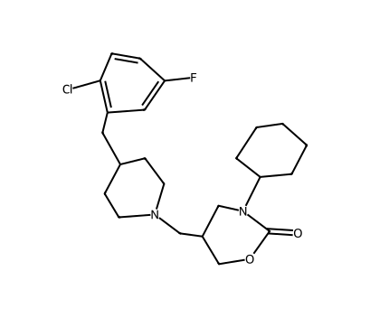 O=C1OCC(CN2CCC(Cc3cc(F)ccc3Cl)CC2)CN1C1CCCCC1